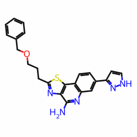 Nc1nc2cc(-c3cc[nH]n3)ccc2c2sc(CCCOCc3ccccc3)nc12